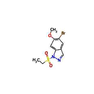 CCS(=O)(=O)n1ncc2cc(Br)c(OC)cc21